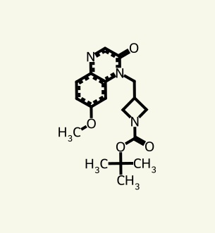 COc1ccc2ncc(=O)n(CC3CN(C(=O)OC(C)(C)C)C3)c2c1